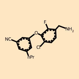 CCCc1cc(C#N)cc(Oc2c(Cl)ccc(CN)c2F)c1